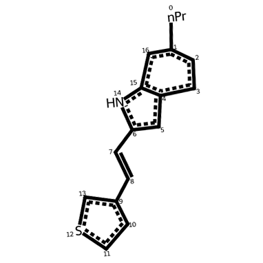 CCCc1ccc2cc(/C=C/c3ccsc3)[nH]c2c1